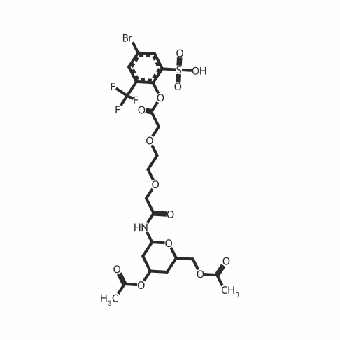 CC(=O)OCC1CC(OC(C)=O)CC(NC(=O)COCCOCC(=O)Oc2c(C(F)(F)F)cc(Br)cc2S(=O)(=O)O)O1